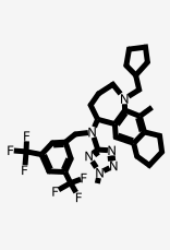 Cc1c2c(cc3c1N(CC1CCCC1)CCCC3N(Cc1cc(C(F)(F)F)cc(C(F)(F)F)c1)c1nnn(C)n1)CCCC2